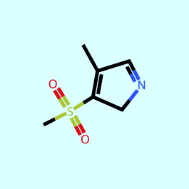 CC1=C(S(C)(=O)=O)CN=C1